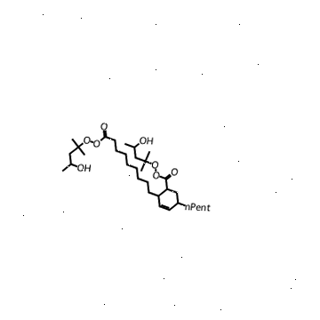 CCCCCC1C=CC(CCCCCCCCC(=O)OOC(C)(C)CC(C)O)C(C(=O)OOC(C)(C)CC(C)O)C1